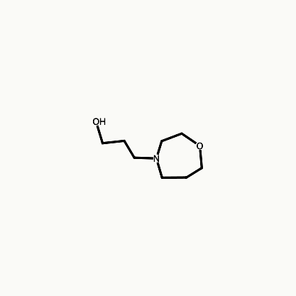 OCCCN1CCCOCC1